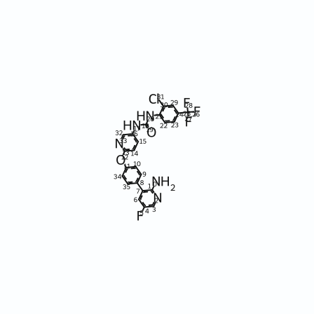 Nc1ncc(F)cc1-c1ccc(Oc2ccc(NC(=O)Nc3ccc(C(F)(F)F)cc3Cl)cn2)cc1